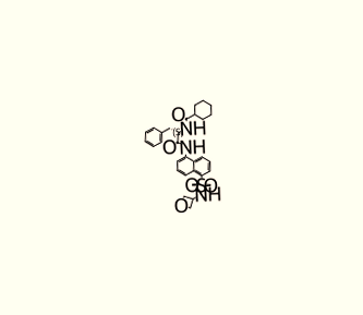 O=C(N[C@@H](Cc1ccccc1)C(=O)Nc1cccc2c(S(=O)(=O)NC3COC3)cccc12)C1CCCCC1